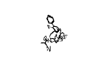 CC(C#N)C(=O)N1CC2(CC2)[C@H](NS(=O)(=O)CF)[C@@H]1Cc1cccc(-c2ccccc2)c1F